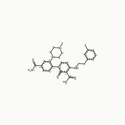 Cc1cccc(CCNc2ccn(-c3ccc(C(N)=O)cc3N3CCN(C)CC3)c(=O)c2C(=O)O)c1